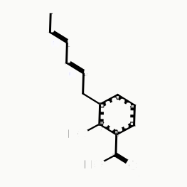 C/C=C/C=C/Cc1cccc(C(=O)O)c1O